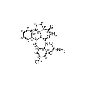 NC(=O)CN1C(=O)C(N2C(=O)CC[C@H]2C(N)=O)C(c2ccccc2)Sc2cc(Cl)ccc21